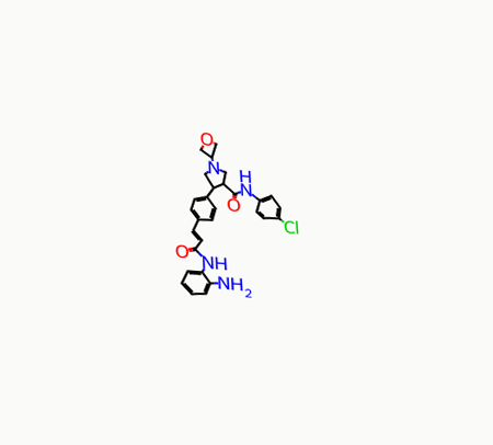 Nc1ccccc1NC(=O)/C=C/c1ccc(C2CN(C3COC3)CC2C(=O)Nc2ccc(Cl)cc2)cc1